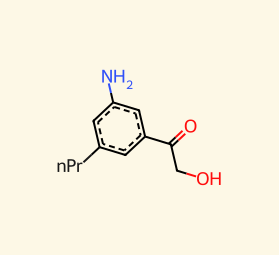 CCCc1cc(N)cc(C(=O)CO)c1